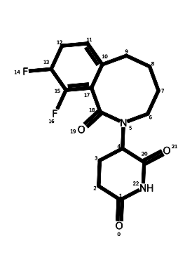 O=C1CCC(N2CCCCC3=CCC(F)C(F)=C3C2=O)C(=O)N1